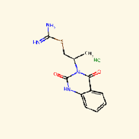 CC(CSC(=N)N)n1c(=O)[nH]c2ccccc2c1=O.Cl